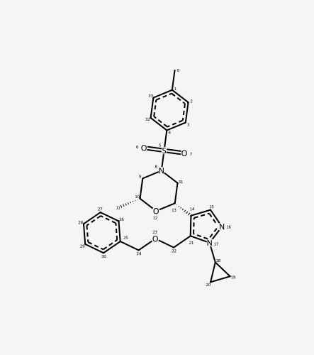 Cc1ccc(S(=O)(=O)N2C[C@@H](C)O[C@@H](c3cnn(C4CC4)c3COCc3ccccc3)C2)cc1